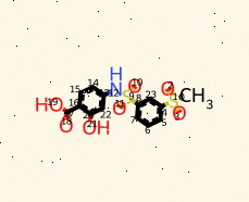 CS(=O)(=O)c1cccc(S(=O)(=O)Nc2ccc(C(=O)O)c(O)c2)c1